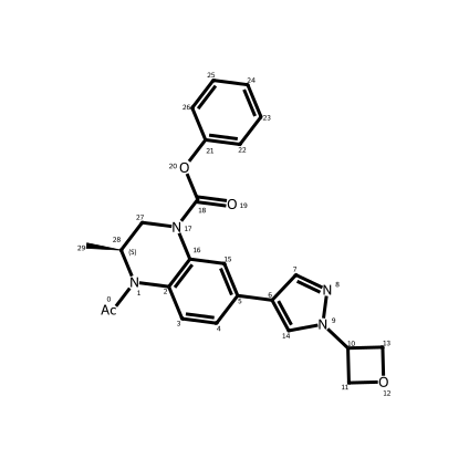 CC(=O)N1c2ccc(-c3cnn(C4COC4)c3)cc2N(C(=O)Oc2ccccc2)C[C@@H]1C